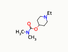 CCN1CCC(OC(=O)N(C)C)CC1